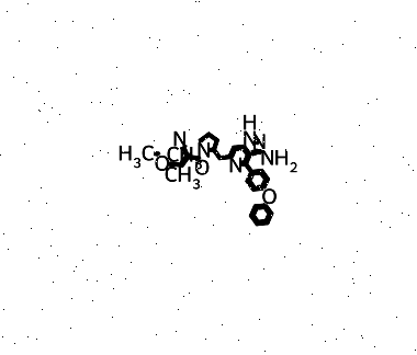 CCOC(C)(C)C=C(C#N)C(=O)N1CCCC1Cc1cc2[nH]nc(N)c2c(-c2ccc(Oc3ccccc3)cc2)n1